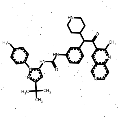 Cc1ccc(-n2nc(C(C)(C)C)cc2NC(=O)Nc2cccc(C(C(=O)c3cc4cnccc4nc3C)C3CCNCC3)c2)cc1